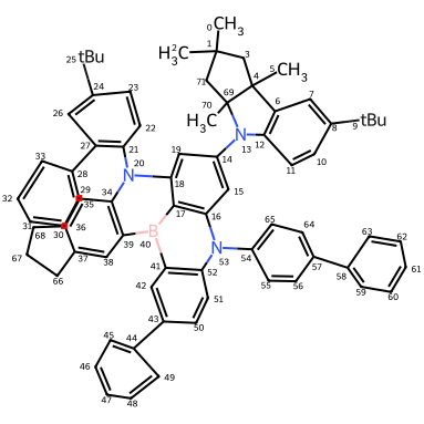 CC1(C)CC2(C)c3cc(C(C)(C)C)ccc3N(c3cc4c5c(c3)N(c3ccc(C(C)(C)C)cc3-c3ccccc3)c3cc6c(cc3B5c3cc(-c5ccccc5)ccc3N4c3ccc(-c4ccccc4)cc3)CCC6)C2(C)C1